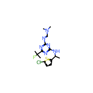 CC(Nc1nc(N=CN(C)C)nc(C(C)(C)F)n1)c1ccc(Cl)s1